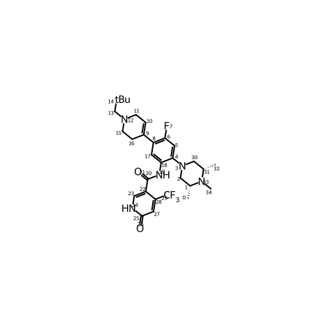 C[C@@H]1CN(c2cc(F)c(C3=CCN(CC(C)(C)C)CC3)cc2NC(=O)c2c[nH]c(=O)cc2C(F)(F)F)C[C@H](C)N1C